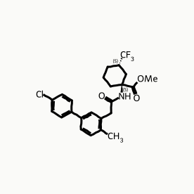 COC(=O)[C@]1(NC(=O)Cc2cc(-c3ccc(Cl)cc3)ccc2C)CCC[C@H](C(F)(F)F)C1